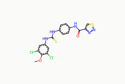 COc1c(Cl)cc(NC(=S)Nc2ccc(NC(=O)c3csnn3)cc2)cc1Cl